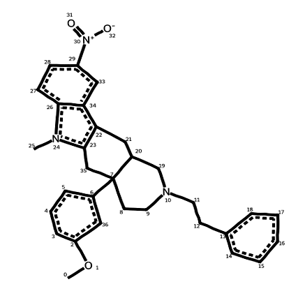 COc1cccc(C23CCN(CCc4ccccc4)CC2Cc2c(n(C)c4ccc([N+](=O)[O-])cc24)C3)c1